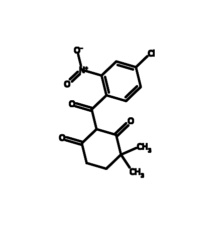 CC1(C)CCC(=O)C(C(=O)c2ccc(Cl)cc2[N+](=O)[O-])C1=O